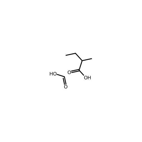 CCC(C)C(=O)O.O=CO